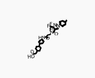 Cc1ccc(-n2cc(C(=O)NCCC(=O)Nc3ccc(C4CCC(CC(=O)O)CC4)cc3)c(C(F)(F)F)n2)cc1